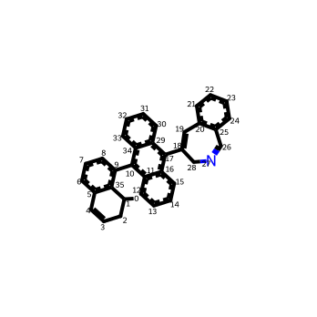 CC1CC=Cc2cccc(-c3c4ccccc4c(C4=Cc5ccccc5C=NC4)c4ccccc34)c21